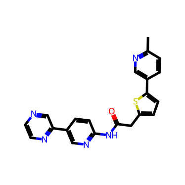 Cc1ccc(-c2ccc(CC(=O)Nc3ccc(-c4cnccn4)cn3)s2)cn1